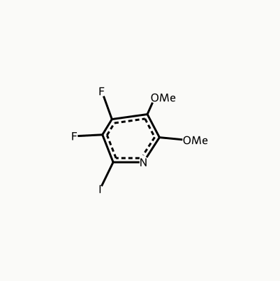 COc1nc(I)c(F)c(F)c1OC